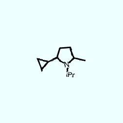 CC(C)N1C(C)CCC1C1CC1